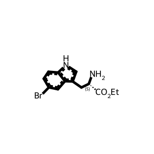 CCOC(=O)[C@@H](N)Cc1c[nH]c2ccc(Br)cc12